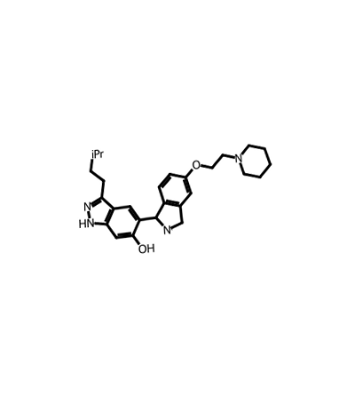 CC(C)CCc1n[nH]c2cc(O)c(C3[N]Cc4cc(OCCN5CCCCC5)ccc43)cc12